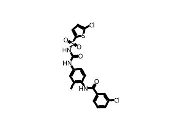 Cc1cc(NC(=O)NS(=O)(=O)c2ccc(Cl)s2)ccc1NC(=O)c1cccc(Cl)c1